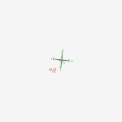 O.[F][Nb]([F])([F])[F]